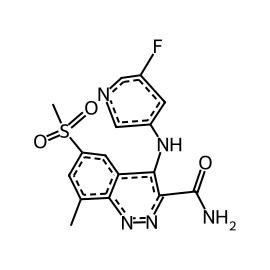 Cc1cc(S(C)(=O)=O)cc2c(Nc3cncc(F)c3)c(C(N)=O)nnc12